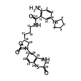 Nc1ccc(N2CCCC2)cc1C(=O)NCCC[C@H]1CN(c2ccc3c(c2)NCC(=O)S3)C(=O)O1